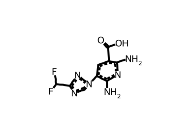 Nc1nc(N)c(-n2cnc(C(F)F)n2)cc1C(=O)O